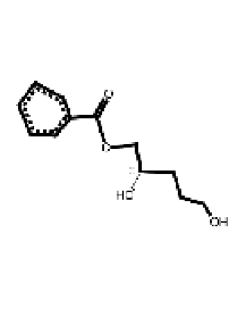 O=C(OC[C@@H](O)CCCO)c1ccccc1